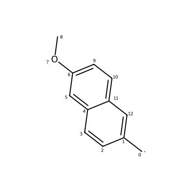 [CH2]c1ccc2cc(OC)ccc2c1